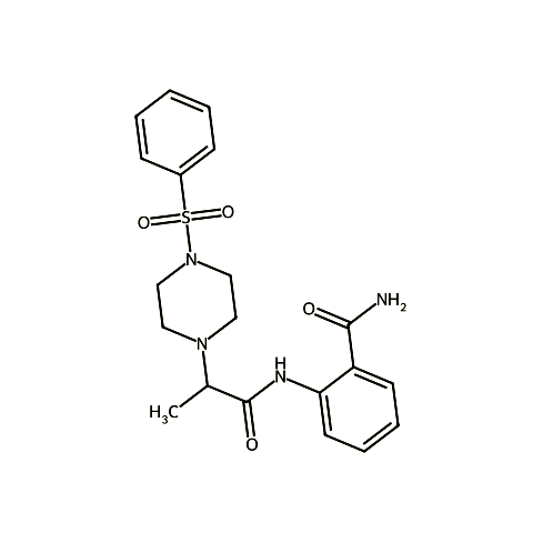 CC(C(=O)Nc1ccccc1C(N)=O)N1CCN(S(=O)(=O)c2ccccc2)CC1